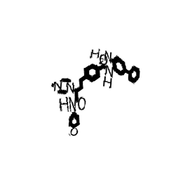 COc1ccc(NC(=O)C(CCc2ccc(C(=O)Nc3cc(-c4ccccc4)ccc3N)cc2)N2CCN(C)CC2)cc1